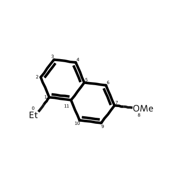 CCc1cccc2cc(OC)ccc12